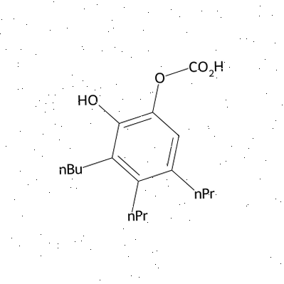 CCCCc1c(O)c(OC(=O)O)cc(CCC)c1CCC